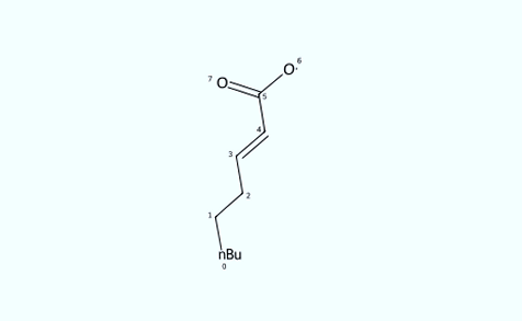 CCCCCC/C=C/C([O])=O